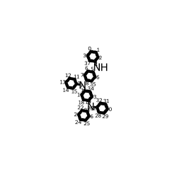 c1ccc(Nc2ccc(N(c3ccccc3)c3ccc(N(c4ccccc4)c4ccccc4)cc3)cc2)cc1